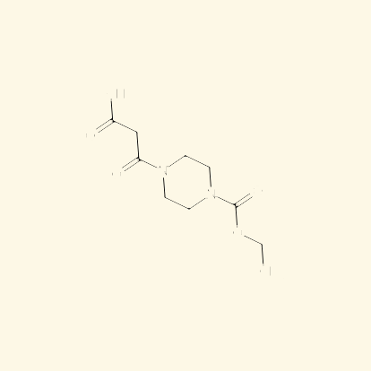 CCOC(=O)N1CCN(C(=O)CC(C)=O)CC1